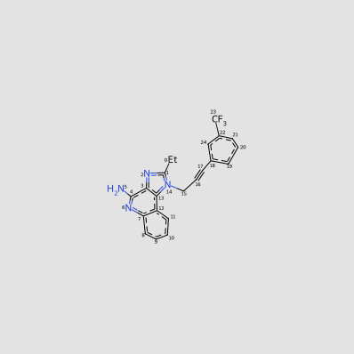 CCc1nc2c(N)nc3ccccc3c2n1CC#Cc1cccc(C(F)(F)F)c1